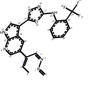 C=N/N=C\C(=C/C)c1cnc2[nH]cc(-c3nnc(Nc4ccccc4C(F)(F)F)o3)c2c1